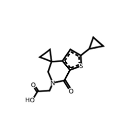 O=C(O)CN1CC2(CC2)c2cc(C3CC3)sc2C1=O